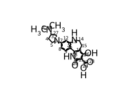 CN(C)C1CCN(c2ccc3c(c2)NCCc2c-3[nH]c(=O)c(C(=O)O)c2O)C1